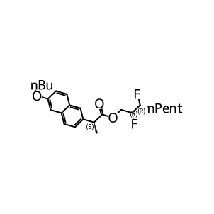 CCCCC[C@@H](F)[C@H](F)COC(=O)[C@@H](C)c1ccc2cc(OCCCC)ccc2c1